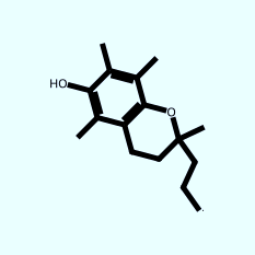 [CH2]CCC1(C)CCc2c(C)c(O)c(C)c(C)c2O1